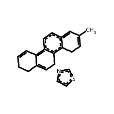 CC1=CCc2c3c(ccc2=C1)=C1C=CCCC1=CC3.c1cscn1